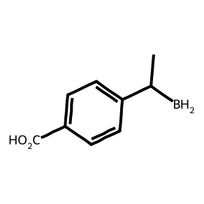 BC(C)c1ccc(C(=O)O)cc1